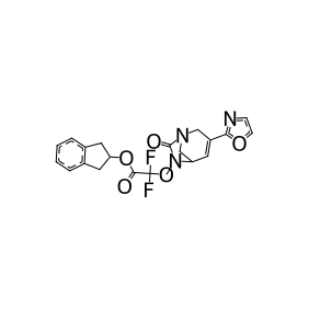 O=C1N2CC(c3ncco3)=CC(C2)N1OC(F)(F)C(=O)OC1Cc2ccccc2C1